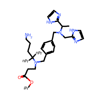 CCCC(CCC)(CCCN)N(CCC(=O)OC(C)C)Cc1ccc(CN(Cc2ncc[nH]2)C(C)c2ncc[nH]2)cc1